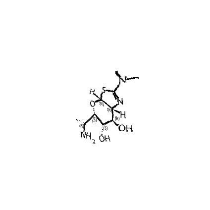 C[C@@H](N)[C@@H]1O[C@@H]2SC(N(C)C)=N[C@@H]2[C@@H](O)[C@@H]1O